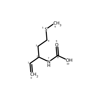 C=CC(CCSC)NC(=O)O